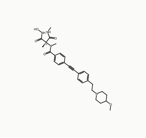 CNC(=O)[C@@](C)(C(=O)NO)N(C)C(=O)c1ccc(C#Cc2ccc(CCN3CCC(OC)CC3)cc2)cc1